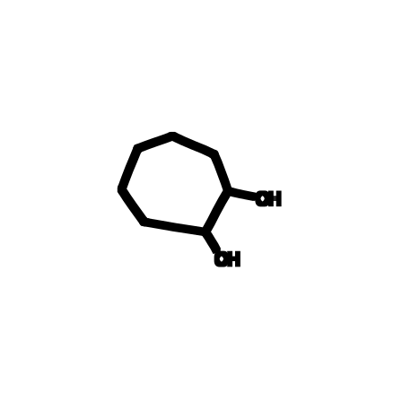 O[C]1CCCCCC1O